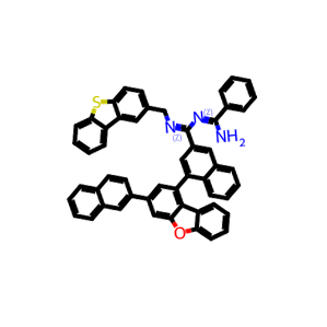 N/C(=N\C(=N/Cc1ccc2sc3ccccc3c2c1)c1cc(-c2cc(-c3ccc4ccccc4c3)cc3oc4ccccc4c23)c2ccccc2c1)c1ccccc1